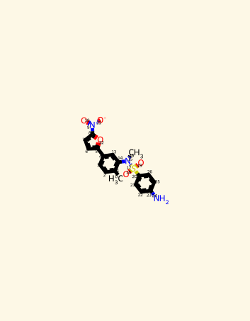 Cc1ccc(-c2ccc([N+](=O)[O-])o2)cc1N(C)S(=O)(=O)c1ccc(N)cc1